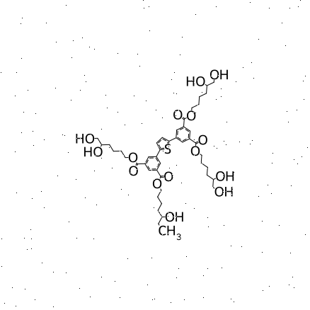 CCC(O)CCCCOC(=O)c1cc(C(=O)OCCCCC(O)CO)cc(-c2ccc(-c3cc(C(=O)OCCCCC(O)CO)cc(C(=O)OCCCCC(O)CO)c3)s2)c1